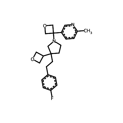 Cc1ccc(C2(N3CCC(CCc4ccc(F)cc4)(C4COC4)C3)COC2)cn1